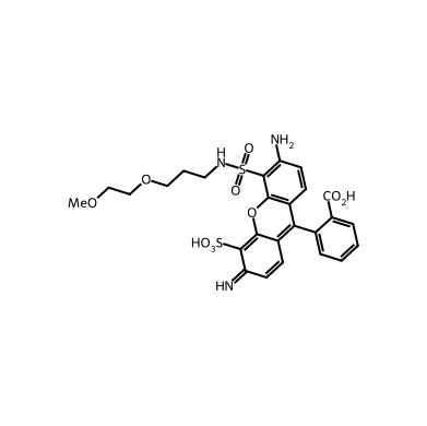 COCCOCCCNS(=O)(=O)c1c(N)ccc2c(-c3ccccc3C(=O)O)c3ccc(=N)c(S(=O)(=O)O)c-3oc12